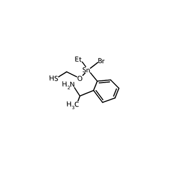 C[CH2][Sn]([Br])([O]CS)[c]1ccccc1C(C)N